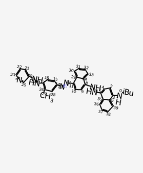 CCC(C)Nc1ccc(NNc2ccc(/N=N/c3ccc(NNc4cccnc4)c(C)c3)c3ccccc23)c2ccccc12